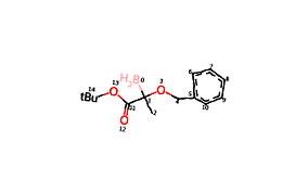 BC(C)(OCc1ccccc1)C(=O)OC(C)(C)C